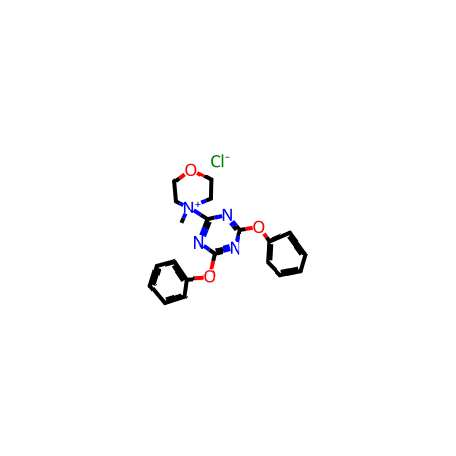 C[N+]1(c2nc(Oc3ccccc3)nc(Oc3ccccc3)n2)CCOCC1.[Cl-]